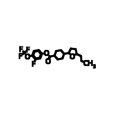 CCCC1CCC(C2CCC(C(=O)Oc3ccc(OC(F)(F)F)c(F)c3)CC2)O1